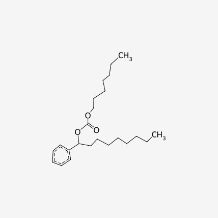 CCCCCCCCC(OC(=O)OCCCCCCC)c1ccccc1